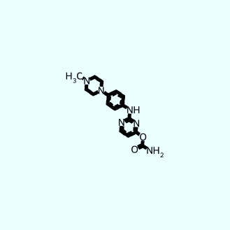 CN1CCN(c2ccc(Nc3nccc(OC(N)=O)n3)cc2)CC1